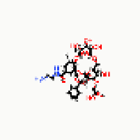 C[C@H](OC1C(OC(=O)c2ccccc2)[C@H]2O[C@@H](COC3O[C@@H](OC4[C@H](C)CC(C(=O)NCCN)C[C@H]4O2)[C@@H](O)C(O)[C@@H]3O)[C@@H]1O)C(=O)O